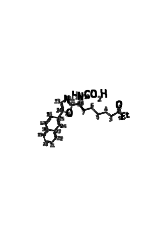 CCC(=O)CCCCC[C@H](NC(=O)O)c1ncc(-c2ccc3ccccc3c2)o1